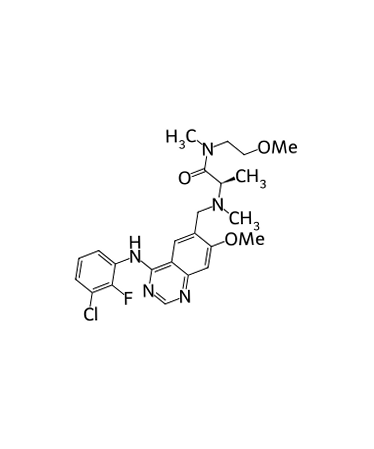 COCCN(C)C(=O)[C@@H](C)N(C)Cc1cc2c(Nc3cccc(Cl)c3F)ncnc2cc1OC